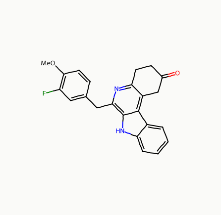 COc1ccc(Cc2nc3c(c4c2[nH]c2ccccc24)CC(=O)CC3)cc1F